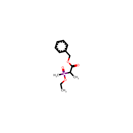 CCOP(C)(=O)C(C)C(=O)OCc1ccccc1